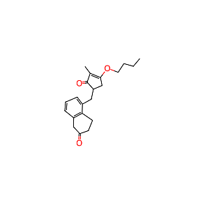 CCCCOC1=C(C)C(=O)C(Cc2cccc3c2CCC(=O)C3)C1